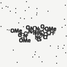 COCCN1C[C@@H](N2C[C@@H]3CN(CC4=C(C(=O)OC)C(c5ccc(F)cc5Cl)N=C(c5nccs5)N4)CCN3C2=O)C[C@@H]1C(=O)OC